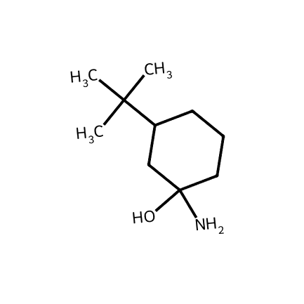 CC(C)(C)C1CCCC(N)(O)C1